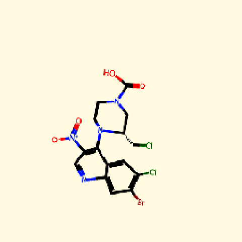 O=C(O)N1CCN(c2c([N+](=O)[O-])cnc3cc(Br)c(Cl)cc23)[C@@H](CCl)C1